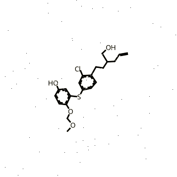 C=CCC(CO)CCc1ccc(Sc2cc(O)ccc2OCOC)cc1Cl